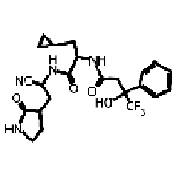 N#CC(CC1CCNC1=O)NC(=O)C(CC1CC1)NC(=O)CC(O)(c1ccccc1)C(F)(F)F